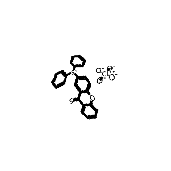 S=c1c2ccccc2oc2ccc([S+](c3ccccc3)c3ccccc3)cc12.[O-][Cl+3]([O-])([O-])[O-]